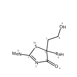 CNC1=NC(=O)[C]([RaH])(CCO)S1